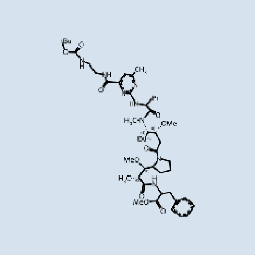 CC[C@H](C)[C@@H]([C@@H](CC(=O)N1CCCC1[C@H](OC)[C@@H](C)C(=O)NC(Cc1ccccc1)C(=O)OC)OC)N(C)C(=O)C(Nc1nc(C)cc(C(=O)NCCNC(=O)OC(C)(C)C)n1)C(C)C